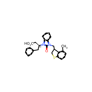 Cc1cccc2c1C(Cn1c(=O)n([C@H](CC(=O)O)Cc3ccccc3)c3ccccc31)CS2